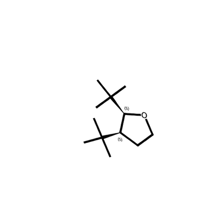 CC(C)(C)[C@@H]1CCO[C@@H]1C(C)(C)C